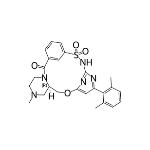 Cc1cccc(C)c1-c1cc2nc(n1)NS(=O)(=O)c1cccc(c1)C(=O)N1CCN(C)C[C@@H]1CO2